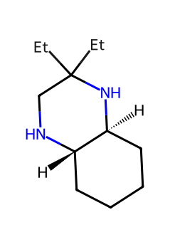 CCC1(CC)CN[C@H]2CCCC[C@@H]2N1